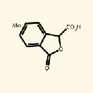 O=C1OC(C(=O)O)c2ccccc21.[Mo]